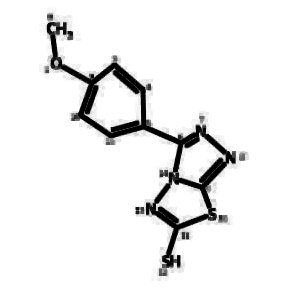 COc1ccc(-c2nnc3sc(S)nn23)cc1